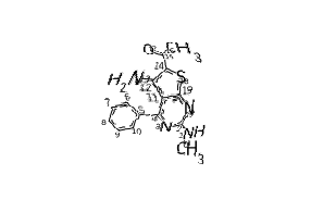 CNc1nc(-c2ccccc2)c2c(N)c(C(C)=O)sc2n1